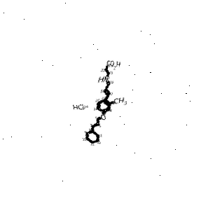 Cc1cc(OCCCC2CCCCC2)ccc1C=CCNCCC(=O)O.Cl